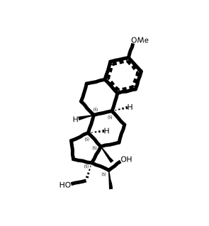 COc1ccc2c(c1)CC[C@@H]1[C@@H]2CC[C@@]2(C)[C@H]1CC[C@]2(CO)[C@H](C)O